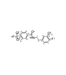 O=C(NCCc1ccc(F)c(C(F)(F)F)c1)c1ccc(C(F)(C(F)(F)F)C(F)(F)F)cc1